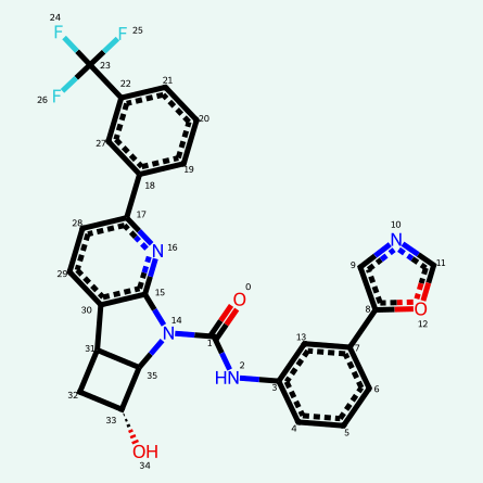 O=C(Nc1cccc(-c2cnco2)c1)N1c2nc(-c3cccc(C(F)(F)F)c3)ccc2C2C[C@@H](O)C21